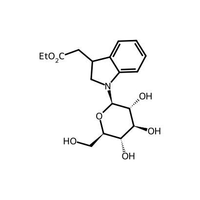 CCOC(=O)CC1CN([C@@H]2O[C@H](CO)[C@@H](O)[C@H](O)[C@H]2O)c2ccccc21